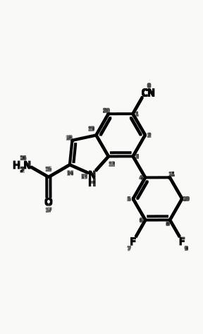 N#Cc1cc(C2=CC(F)=C(F)CC2)c2[nH]c(C(N)=O)cc2c1